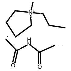 CC(=O)NC(C)=O.CCC[N+]1(C)CCCC1